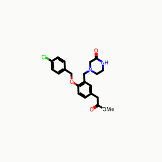 COC(=O)Cc1ccc(OCc2ccc(Cl)cc2)c(CN2CCNC(=O)C2)c1